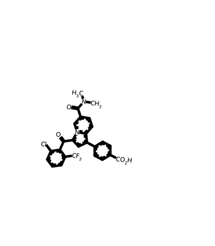 CN(C)C(=O)c1ccc2c(-c3ccc(C(=O)O)cc3)cc(C(=O)c3c(Cl)cccc3C(F)(F)F)n2c1